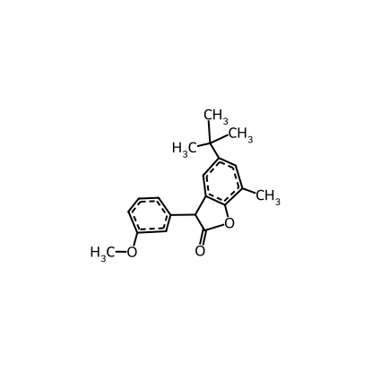 COc1cccc(C2C(=O)Oc3c(C)cc(C(C)(C)C)cc32)c1